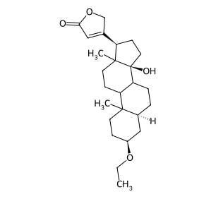 CCO[C@H]1CCC2(C)C3CCC4(C)[C@@H](C5=CC(=O)OC5)CC[C@]4(O)C3CC[C@H]2C1